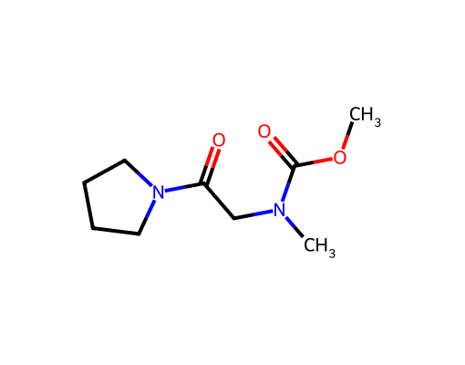 COC(=O)N(C)CC(=O)N1CCCC1